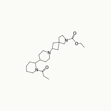 CCOC(=O)N1CCC2(CC(N3CCC(C4CCCCN4C(=O)CC)CC3)C2)C1